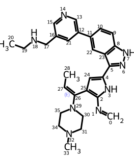 C=Nc1[nH]c(-c2n[nH]c3ccc(-c4cncc(CNCC)c4)cc23)cc1/C(=C\C)N1CCN(C)CC1